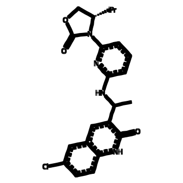 CC(Nc1cccc(N2C(=O)OC[C@@H]2C(C)C)n1)c1cc2cc(Cl)ccc2[nH]c1=O